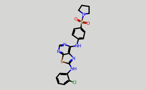 O=S(=O)(c1ccc(Nc2ncnc3sc(Nc4ccccc4Cl)nc23)cc1)N1CCCC1